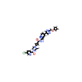 CC1CN(C(=O)c2ccc(Cl)cn2)CCN1C1CC(C(=O)Nc2cc3cc(-c4cnc(COC5CCCC5)nc4)ccn3n2)C1